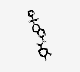 O=C(Nc1ncc2c(n1)CCN(S(=O)(=O)c1cccs1)C2)c1ccc(F)c(F)c1